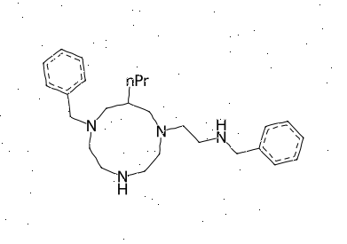 CCCC1CN(CCNCc2ccccc2)CCNCCN(Cc2ccccc2)C1